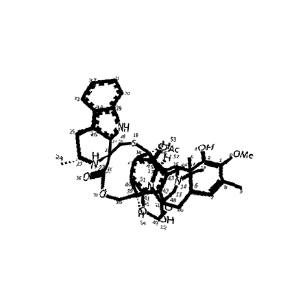 COC1=C(O)C2(C)C(C=C1C)CC1(O)CN(C)C2[C@@H]2[C@@H]3SC[C@]4(N[C@H](C)Cc5c4[nH]c4ccccc54)C(=O)OC[C@@H](c4c5c(c(C)c(OC(C)=O)c43)OCO5)N21